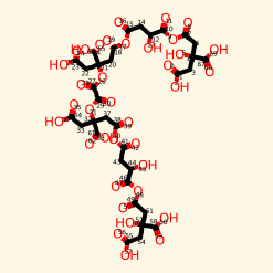 O=C(O)CC(O)(CC(=O)OC(=O)C(O)CC(=O)OC(=O)CC(CC(=O)O)(OC(=O)C(=O)OC(CC(=O)O)(CC(=O)OC(=O)CC(O)C(=O)OC(=O)CC(O)(CC(=O)O)C(=O)O)C(=O)O)C(=O)O)C(=O)O